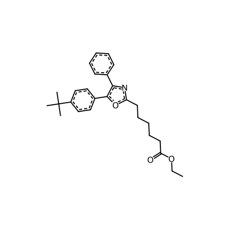 CCOC(=O)CCCCCc1nc(-c2ccccc2)c(-c2ccc(C(C)(C)C)cc2)o1